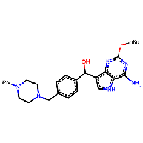 CCCCOc1nc(N)c2[nH]cc(C(O)c3ccc(CN4CCN(C(C)C)CC4)cc3)c2n1